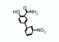 NC(=O)c1cc(-c2cccc([N+](=O)[O-])c2)ccc1O